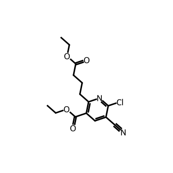 CCOC(=O)CCCc1nc(Cl)c(C#N)cc1C(=O)OCC